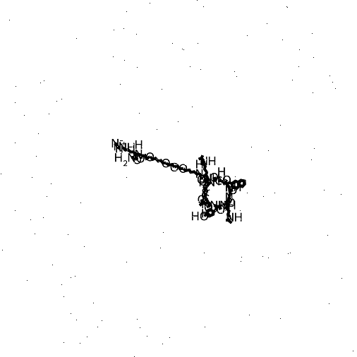 CC(=O)NC1CCSSCC(C(=O)NC(CCCCNC(C)C)C(=O)NCCCCCOCCOCCOCCCCCOCCC(=O)NC(CCCCNN=[N+]=[N-])C(N)=O)NC(=O)CNC(=O)C(Cc2ccc3ccccc3c2)NC(=O)CNC(=O)C(CCCCNC(C)C)NC(=O)C(Cc2ccc(O)cc2)NC1=O